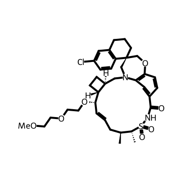 COCCOCCO[C@H]1/C=C/C[C@H](C)[C@@H](C)S(=O)(=O)NC(=O)c2ccc3c(c2)N(C[C@@H]2CC[C@H]21)C[C@@]1(CCCc2cc(Cl)ccc21)CO3